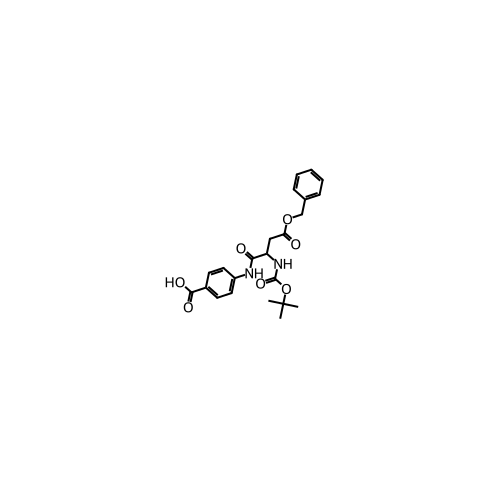 CC(C)(C)OC(=O)NC(CC(=O)OCc1ccccc1)C(=O)Nc1ccc(C(=O)O)cc1